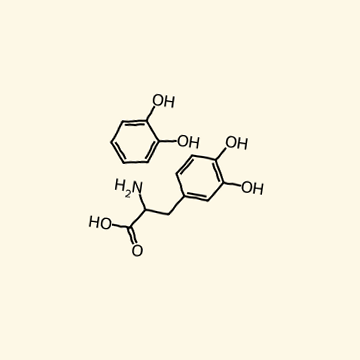 NC(Cc1ccc(O)c(O)c1)C(=O)O.Oc1ccccc1O